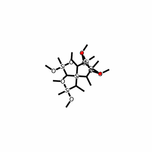 CO[Si](C)(OC)C(C)[Si](C(C)[Si](C)(OC)OC)(C(C)[Si](C)(OC)OC)C(C)[Si](C)(OC)OC